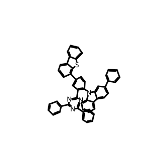 c1ccc(-c2ccc3c4ccccc4n(-c4ccc(-c5cccc6c5sc5ccccc56)cc4-c4nc(-c5ccccc5)nc(-c5ccccc5)n4)c3c2)cc1